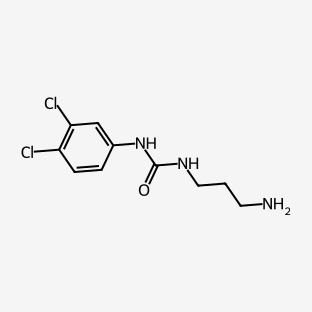 NCCCNC(=O)Nc1ccc(Cl)c(Cl)c1